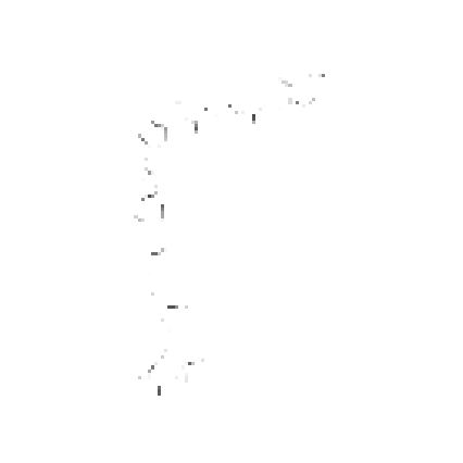 Cc1cn(CCC(=O)NCCC(=O)Nc2ccc(/N=C/c3ccc(NC(=O)CCNC(=O)CCn4cc(C)c(=O)[nH]c4=O)s3)cc2)c(=O)[nH]c1=O